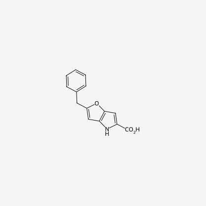 O=C(O)c1cc2oc(Cc3ccccc3)cc2[nH]1